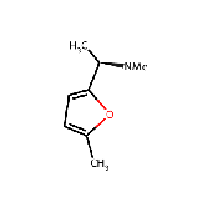 CN[C@H](C)c1ccc(C)o1